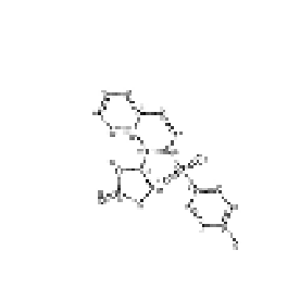 Cc1ccc(S(=O)(=O)N2C=Cc3ccccc3[C@@H]2[C@H]2CCC(=O)O2)cc1